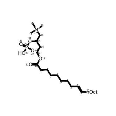 CCCCCCCCC=CCCCCCCCC(=O)OCCC(C[N+](C)(C)C)OP(=O)(O)O